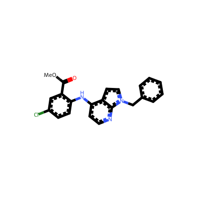 COC(=O)c1cc(Cl)ccc1Nc1ccnc2c1ccn2Cc1ccccc1